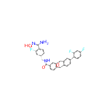 N/C(=N/O)c1ccc(CNC(=O)c2ccc3c(c2)C2OC3c3ccc(-c4ccc(F)cc4F)cc32)cc1F